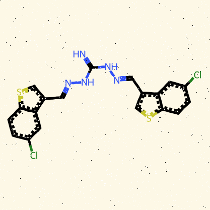 N=C(N/N=C/c1csc2ccc(Cl)cc12)N/N=C/c1csc2ccc(Cl)cc12